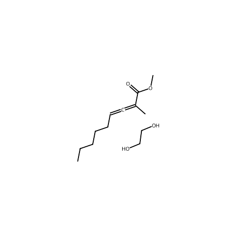 CCCCCC=C=C(C)C(=O)OC.OCCO